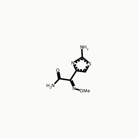 CO/N=C(/C(N)=O)c1csc(N)n1